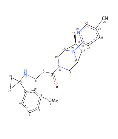 COc1cccc(C2(NCCC(=O)N3CC4C[C@H](C)C(C3)N4c3ccc(C#N)cn3)CC2)c1